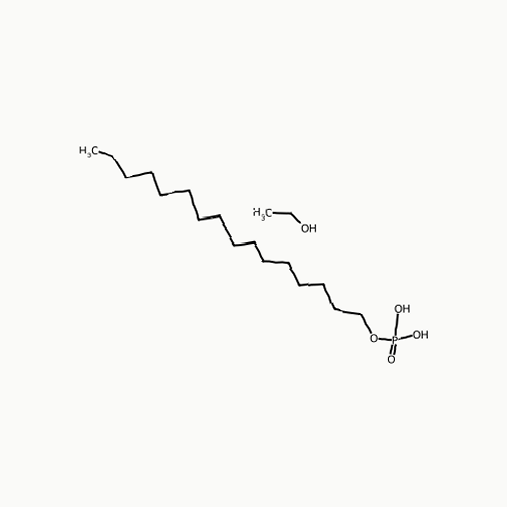 CCCCCCCCCCCCCCCCOP(=O)(O)O.CCO